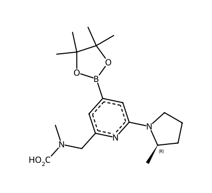 C[C@@H]1CCCN1c1cc(B2OC(C)(C)C(C)(C)O2)cc(CN(C)C(=O)O)n1